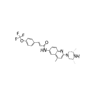 Cc1cc(N2C[C@@H](C)N[C@@H](C)C2)nc2ccc(NC(=O)C=Cc3ccc(OC(F)(F)F)cc3)cc12